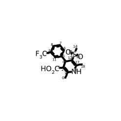 CC1=C(C(=O)O)C(c2cccc(C(F)(F)F)c2)C(S(C)(=O)=O)=C(C)N1